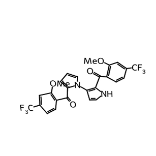 COc1cc(C(F)(F)F)ccc1C(=O)c1[nH]ccc1-n1cccc1C(=O)c1ccc(C(F)(F)F)cc1OC